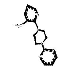 O=C(O)c1cccnc1N1CCN(c2ncccn2)CC1